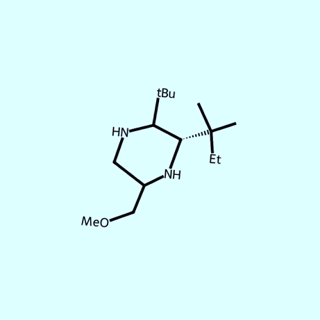 CCC(C)(C)[C@@H]1NC(COC)CNC1C(C)(C)C